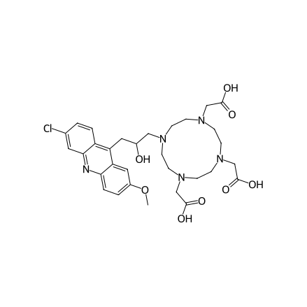 COc1ccc2nc3cc(Cl)ccc3c(CC(O)CN3CCN(CC(=O)O)CCN(CC(=O)O)CCN(CC(=O)O)CC3)c2c1